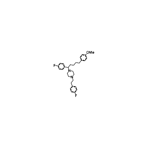 COc1ccc(CCCCC(c2ccc(F)cc2)N2CCN(CCc3ccc(F)cc3)CC2)cc1